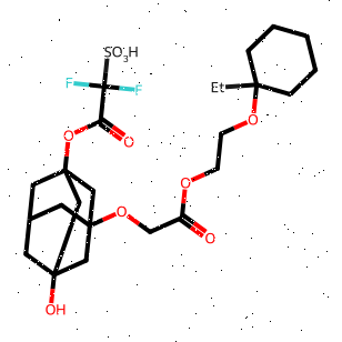 CCC1(OCCOC(=O)COC23CC4CC(O)(C2)CC(OC(=O)C(F)(F)S(=O)(=O)O)(C4)C3)CCCCC1